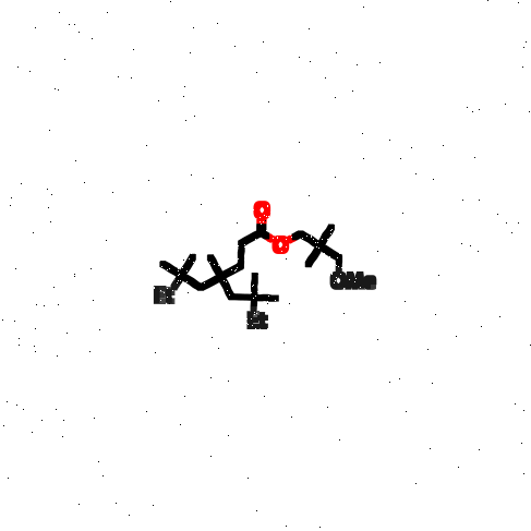 CCC(C)(C)CC(C)(CCC(=O)OCC(C)(C)COC)CC(C)(C)CC